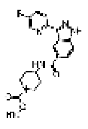 CC(C)(C)OC(=O)N1CCC(NC(=O)c2ccc3[nH]nc(-c4ccc(F)cn4)c3c2)CC1